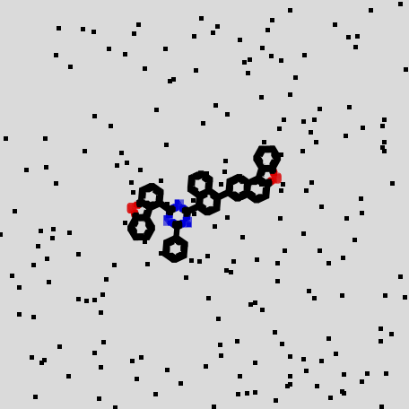 c1ccc(-c2nc(-c3ccc(-c4ccc5c(ccc6oc7ccccc7c65)c4)c4ccccc34)nc(-c3cccc4oc5ccccc5c34)n2)cc1